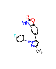 O=c1[nH]c2cc(-c3cc(C(F)(F)F)nn3-c3ccc(F)cc3)ccc2o1